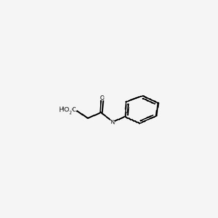 O=C(O)CC(=O)[N]c1ccccc1